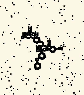 N#Cc1ccc2nc([C@H](Cc3ccc(C4CC(=O)NS4(O)O)cc3)NS(=O)(=O)c3cccc(Oc4ccccc4)c3)[nH]c2c1